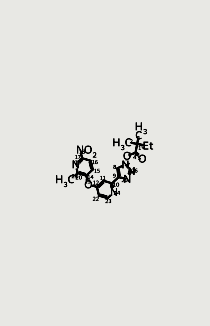 CCC(C)(C)C(=O)On1cc(-c2cc(Oc3ccc([N+](=O)[O-])nc3C)ccn2)nn1